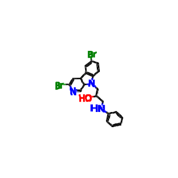 OC(CNc1ccccc1)CN1c2ccc(Br)cc2C2C=C(Br)N=CC21